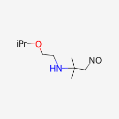 CC(C)OCCNC(C)(C)CN=O